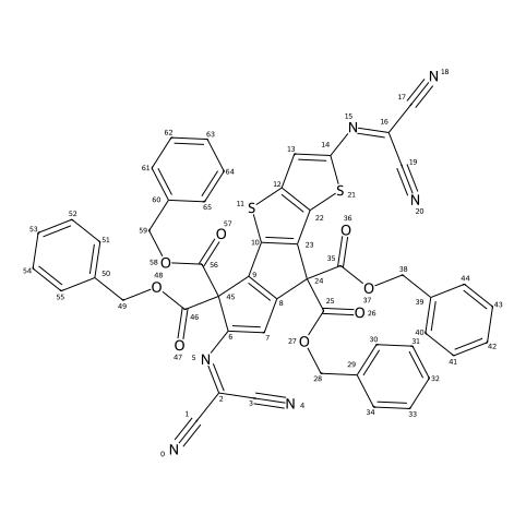 N#CC(C#N)=NC1=CC2=C(c3sc4cc(N=C(C#N)C#N)sc4c3C2(C(=O)OCc2ccccc2)C(=O)OCc2ccccc2)C1(C(=O)OCc1ccccc1)C(=O)OCc1ccccc1